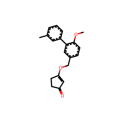 COc1ccc(COC2=CC(=O)CC2)cc1-c1cccc(C)c1